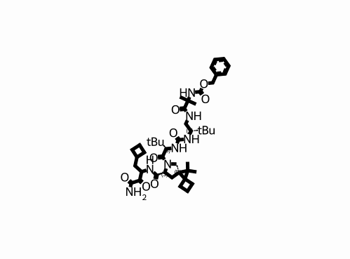 CC(C)(NC(=O)OCc1ccccc1)C(=O)NC[C@@H](NC(=O)N[C@H](C(=O)N1C[C@]2(C[C@H]1C(=O)NC(CC1CCC1)C(=O)C(N)=O)C(C)(C)C21CCC1)C(C)(C)C)C(C)(C)C